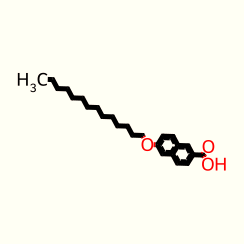 CCCCCCCCCCCCCCOc1ccc2cc(C(=O)O)ccc2c1